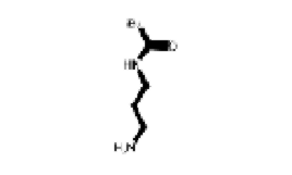 CCC(C)C(=O)NCCCN